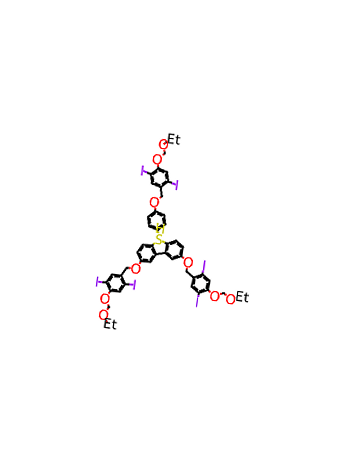 CCOCOc1cc(I)c(COc2ccc([SH]3c4ccc(OCc5cc(I)c(OCOCC)cc5I)cc4-c4cc(OCc5cc(I)c(OCOCC)cc5I)ccc43)cc2)cc1I